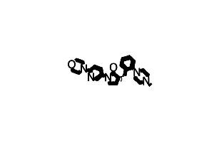 CN1CCN(c2ccccc2C[C@@H]2CCN(c3ccc(N4CCOCC4)nc3)C2=O)CC1